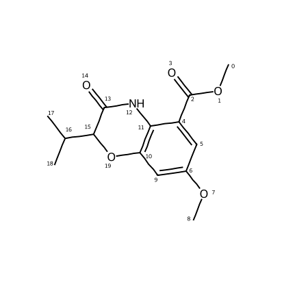 COC(=O)c1cc(OC)cc2c1NC(=O)C(C(C)C)O2